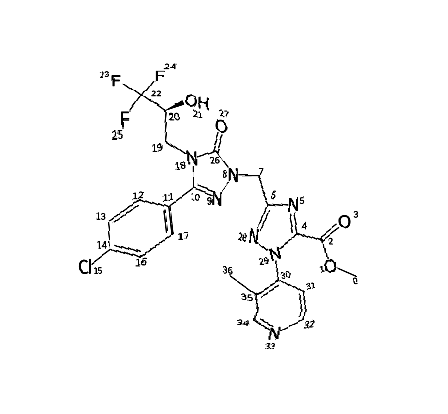 COC(=O)c1nc(Cn2nc(-c3ccc(Cl)cc3)n(C[C@H](O)C(F)(F)F)c2=O)nn1-c1ccncc1C